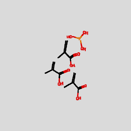 C=C(C)C(=O)O.C=C(C)C(=O)O.C=C(C)C(=O)O.OP(O)O